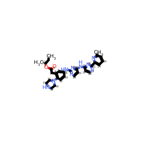 CC[C@@H](C)OC(=O)Cc1cc(Nc2nccc(Nc3ccnc(-c4cccc(C)n4)n3)n2)ccc1N1CCNCC1